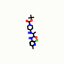 Cc1ccc(NC(=O)C(C)NC2CCN(C(=O)OC(C)(C)C)CC2)c(Cl)n1